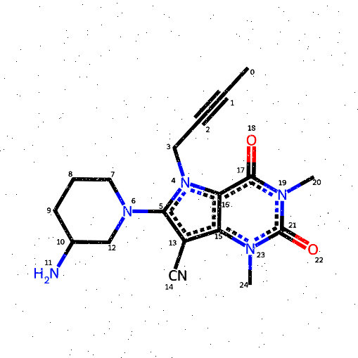 CC#CCn1c(N2CCCC(N)C2)c(C#N)c2c1c(=O)n(C)c(=O)n2C